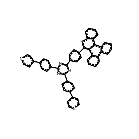 c1ccc2c(c1)nc(-c1ccc(-c3nc(-c4ccc(-c5ccncc5)cc4)nc(-c4ccc(-c5ccncc5)cc4)n3)cc1)c1c3ccccc3c3ccccc3c21